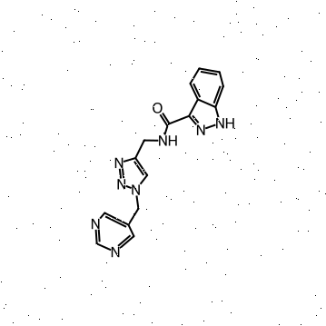 O=C(NCc1cn(Cc2cncnc2)nn1)c1n[nH]c2ccccc12